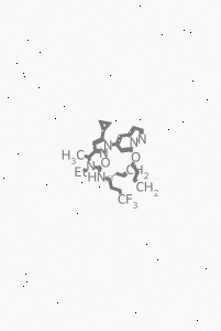 C=CCCOc1cc(-n2nc(C(C)N(CC)C(=O)N[C@H](CC=C)CCC(F)(F)F)cc2C2CC2)cc2ccnn12